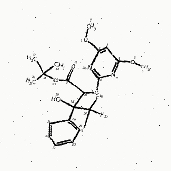 COc1cc(OC)nc(OC(C(=O)OC(C)(C)C)C(O)(c2ccccc2)C(F)(F)F)n1